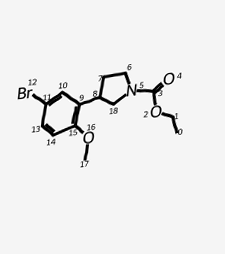 CCOC(=O)N1CCC(c2cc(Br)ccc2OC)C1